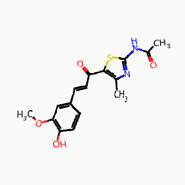 COc1cc(C=CC(=O)c2sc(NC(C)=O)nc2C)ccc1O